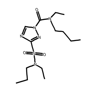 CCCCN(CC)C(=O)n1cnc(S(=O)(=O)N(CC)CCC)n1